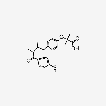 CSc1ccc(C(=O)C(C)C(C)Cc2ccc(OC(C)(C)C(=O)O)cc2)cc1